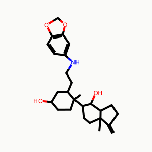 C=C1CCC2C(O)C(C3(C)CCC(O)CC3CCNc3ccc4c(c3)OCO4)CCC12C